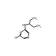 CCC(CC)Nc1cncc(Cl)n1